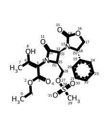 CCOC(=O)C(=C(C)O)N1C(=O)[C@@H](N2C(=O)OC[C@@H]2c2ccccc2)[C@H]1COS(C)(=O)=O